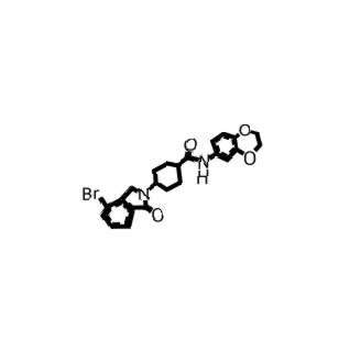 O=C(Nc1ccc2c(c1)OCCO2)C1CCC(N2Cc3c(Br)cccc3C2=O)CC1